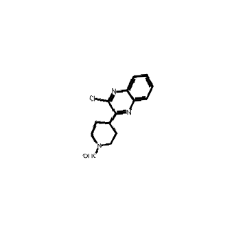 O=CN1CCC(c2nc3ccccc3nc2Cl)CC1